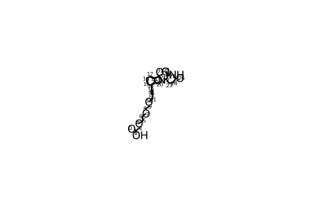 O=C(O)COCCOCCOCC#Cc1cccc2c1CN(C1CCC(=O)NC1=O)C2=O